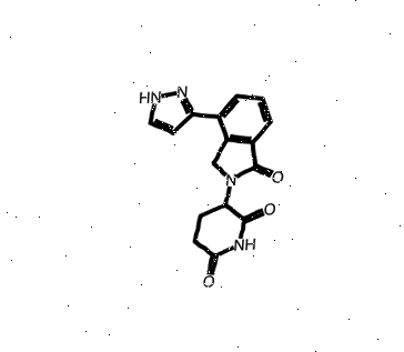 O=C1CCC(N2Cc3c(cccc3-c3cc[nH]n3)C2=O)C(=O)N1